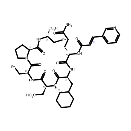 CC(C)C[C@H](NC(=O)[C@@H]1CCCN1C(=O)[C@H](CC(C)C)NC(=O)[C@H](CC(=O)O)N(C)C(=O)[C@H](CC1CCCCC1)NC(=O)[C@H](CCC(N)=O)NC(=O)/C=C/c1cccnc1)C(=O)O